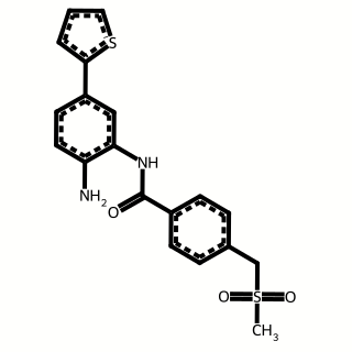 CS(=O)(=O)Cc1ccc(C(=O)Nc2cc(-c3cccs3)ccc2N)cc1